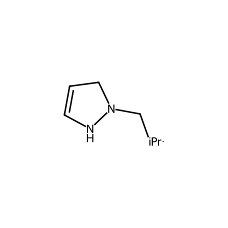 C[C](C)CN1CC=CN1